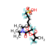 C=C(C(=O)OC(OCCCC(F)(F)C(F)(F)S(=O)(=O)O)(C(=O)N(C(C)C)C(C)C)C(F)(F)F)C(F)(F)F